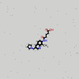 Cc1c(NC(=O)CCCC(=O)O)ccc2cc(CN3CCCC3)cnc12